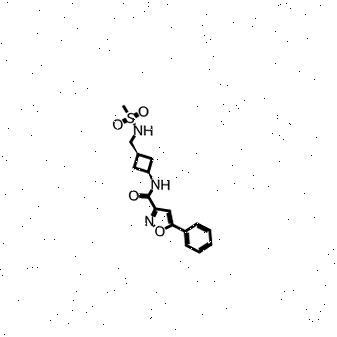 CS(=O)(=O)NC[C@H]1C[C@@H](NC(=O)c2cc(-c3ccccc3)on2)C1